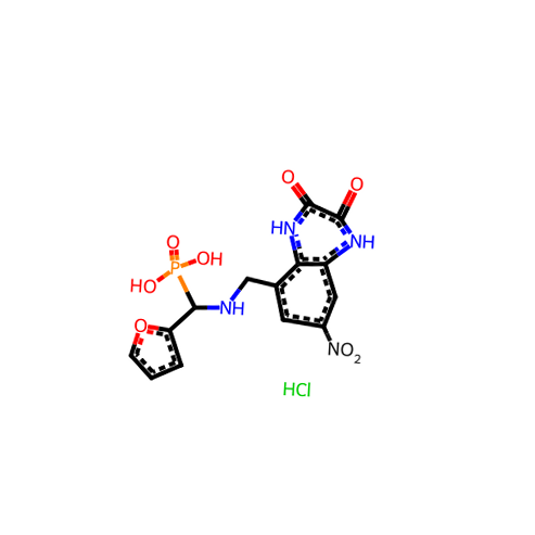 Cl.O=c1[nH]c2cc([N+](=O)[O-])cc(CNC(c3ccco3)P(=O)(O)O)c2[nH]c1=O